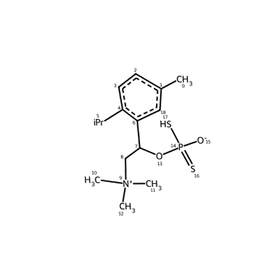 Cc1ccc(C(C)C)c(C(C[N+](C)(C)C)OP([O-])(=S)S)c1